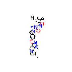 CN1CCc2c(ncnc2Oc2ccc3c(ccn3C(=O)Nc3cc(C4(C)CC4)on3)c2)C1